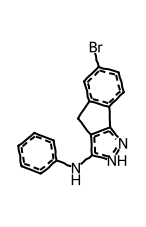 Brc1ccc2c(c1)Cc1c-2n[nH]c1Nc1ccccc1